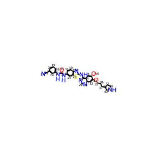 COc1cc2c(Nc3nc4ccc(NC(=O)Nc5cccc(C#N)c5)cc4s3)ncnc2cc1OCCCC1CCNC1